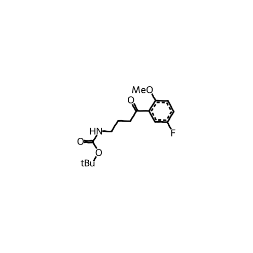 COc1ccc(F)cc1C(=O)CCCNC(=O)OC(C)(C)C